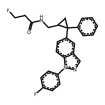 O=C(CCF)NCC1CC1(c1ccccc1)c1ccc2c(cnn2-c2ccc(F)cc2)c1